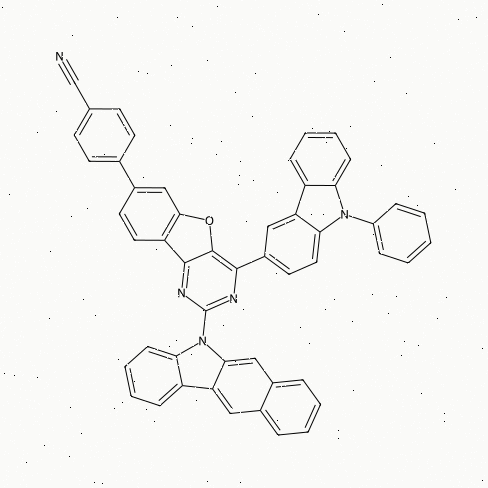 N#Cc1ccc(-c2ccc3c(c2)oc2c(-c4ccc5c(c4)c4ccccc4n5-c4ccccc4)nc(-n4c5ccccc5c5cc6ccccc6cc54)nc23)cc1